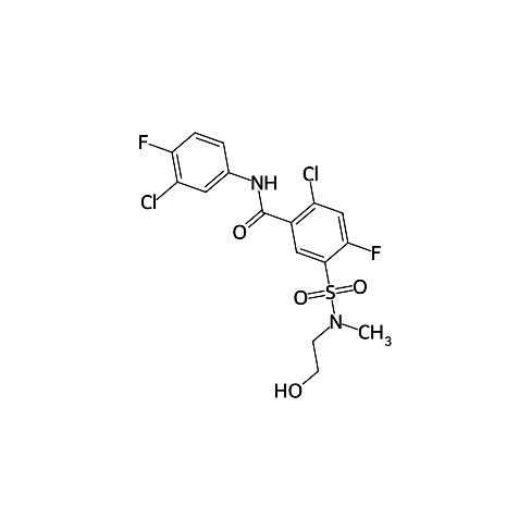 CN(CCO)S(=O)(=O)c1cc(C(=O)Nc2ccc(F)c(Cl)c2)c(Cl)cc1F